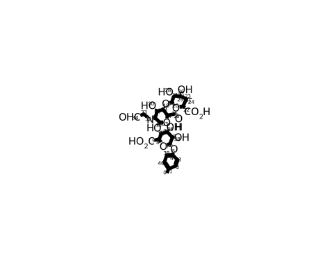 Cc1ccc(O[C@@H]2OC(C(=O)O)[C@@H](O[C@H]3OC(CO)[C@@H](O[C@@H]4OC(C(=O)O)[C@@H](C)[C@@H](O)C4O)[C@H](O)C3NCC=O)[C@H](O)C2O)cc1